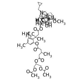 CO[C@@]12CC[C@@]3(C[C@@H]1[C@](C)(O)C(C)(C)C)C1Cc4ccc(OC(=O)CC(C)(C)c5c(C)cc(C)cc5OC(=O)CC(C)CC(=O)OC(COC(C)=O)COC(C)=O)c5c4[C@@]3(CCN1CC1CC1)[C@]2(C)O5